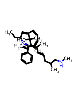 C=C/C(=C(/C)C=CCC(C)CNC)C(C)(C)C1=C/C(CC)\N=C(c2ccccc2)/C(C)=C\C=C/1